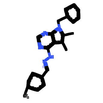 Cc1c(C)n(Cc2ccccc2)c2ncnc(N/N=C/c3ccc(C(F)(F)F)cc3)c12